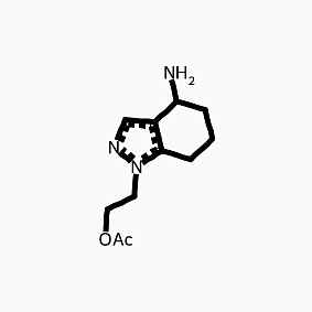 CC(=O)OCCn1ncc2c1CCCC2N